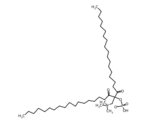 CCCCCCCCCCCCCCCCCC(=O)C(C[N+](C)(C)C)(OP(=O)([O-])O)C(=O)CCCCCCCCCCCCCCCCC